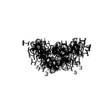 CC1OC(OCC2OC(OC(CC[C@@H](C)[C@H]3CC[C@@]4(C)C5CC=C6C(CC[C@H](OC7OC(CO)C(OC8OC(CO)C(O)C(O)C8O)C(O)C7O)C6(C)C)[C@]5(C)CC[C@]34C)C(C)(C)O)C(OC3OC(CO)C(O)C(O)C3O)C(O)C2O)C(O)C(O)C1O